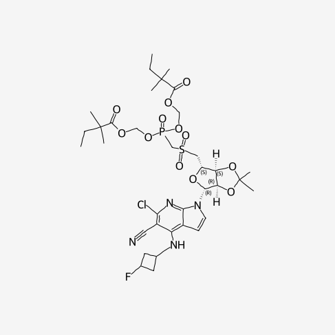 CCC(C)(C)C(=O)OCOP(=O)(CS(=O)(=O)C[C@H]1O[C@@H](n2ccc3c(NC4CC(F)C4)c(C#N)c(Cl)nc32)[C@@H]2OC(C)(C)O[C@@H]21)OCOC(=O)C(C)(C)CC